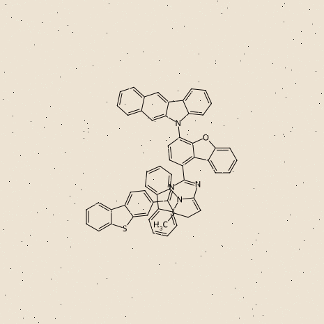 CC1C/C=C(n2c3ccccc3c3ccccc32)/N=C(c2ccc(-n3c4ccccc4c4cc5ccccc5cc43)c3oc4ccccc4c23)\N=C/1c1ccc2c(c1)sc1ccccc12